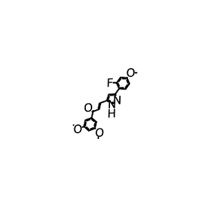 COc1cc(OC)cc(C(=O)C=Cc2cc(-c3ccc(OC)cc3F)n[nH]2)c1